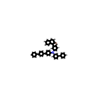 c1ccc(-c2ccc(-c3ccc(N(c4cccc(-c5ccccc5)c4)c4ccc5sc6ccc7ccccc7c6c5c4)cc3)cc2)cc1